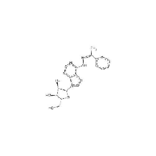 CC(=NNc1ncnc2c1ncn2C1O[C@H](CO)[C@@H](O)[C@H]1O)c1ccccc1